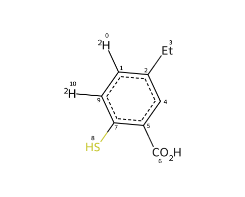 [2H]c1c(CC)cc(C(=O)O)c(S)c1[2H]